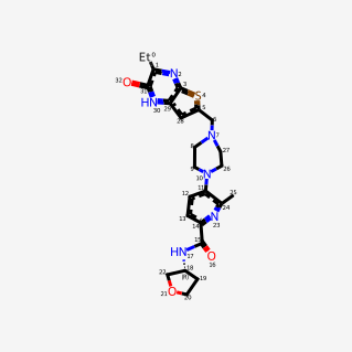 CCc1nc2sc(CN3CCN(c4ccc(C(=O)N[C@@H]5CCOC5)nc4C)CC3)cc2[nH]c1=O